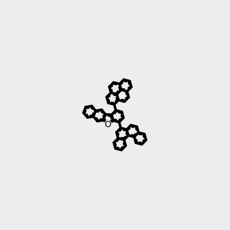 c1ccc2cc3c(cc2c1)oc1c(-c2cc4ccccc4c4c2ccc2ccccc24)ccc(-c2ccc4ccc5cccc6ccc2c4c56)c13